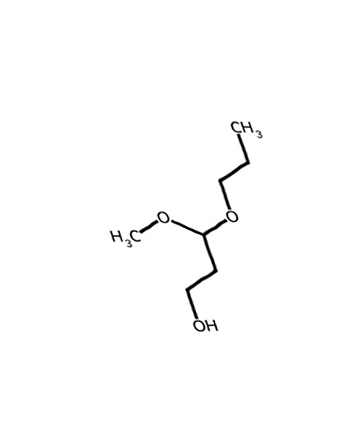 CCCOC(CCO)OC